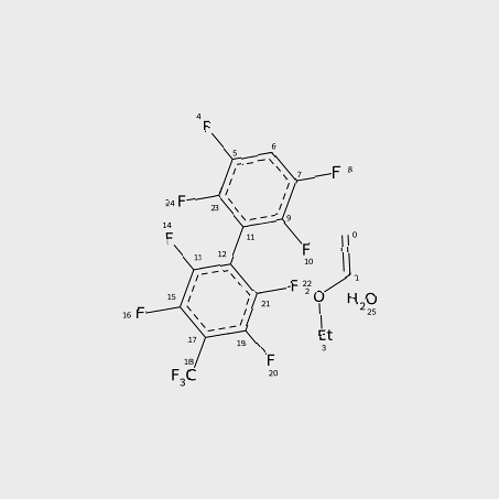 C=COCC.Fc1cc(F)c(F)c(-c2c(F)c(F)c(C(F)(F)F)c(F)c2F)c1F.O